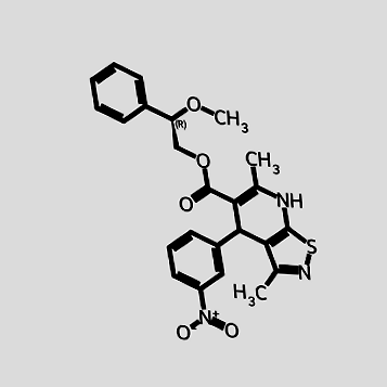 CO[C@@H](COC(=O)C1=C(C)Nc2snc(C)c2C1c1cccc([N+](=O)[O-])c1)c1ccccc1